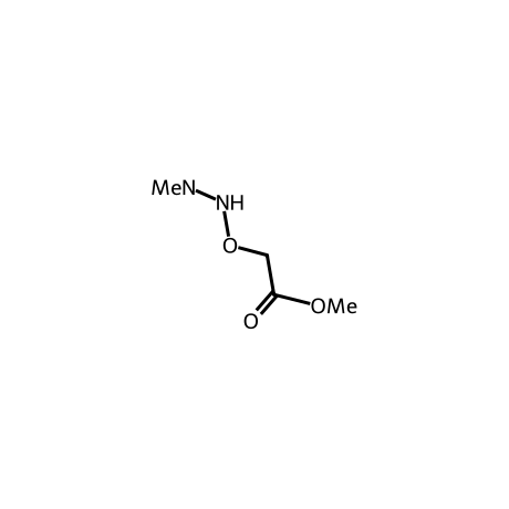 CNNOCC(=O)OC